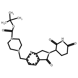 CC(C)(C)OC(=O)N1CCN(Cc2ccc3c(n2)CN(C2CCC(=O)NC2=O)C3=O)CC1